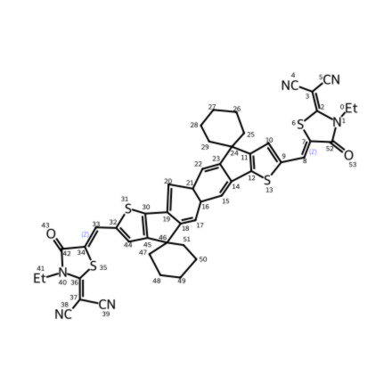 CCn1c(=C(C#N)C#N)s/c(=C\c2cc3c(s2)C2=CC4C=C5C(=CC4C=C2C32CCCCC2)c2sc(/C=c3\sc(=C(C#N)C#N)n(CC)c3=O)cc2C52CCCCC2)c1=O